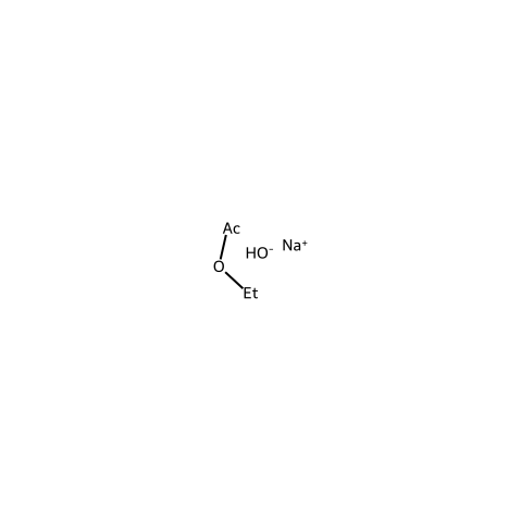 CCOC(C)=O.[Na+].[OH-]